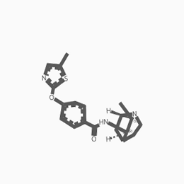 Cc1cnc(Oc2ccc(C(=O)N[C@@H]3C4CCN(CC4)[C@H]3C)cc2)s1